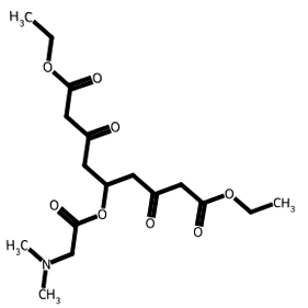 CCOC(=O)CC(=O)CC(CC(=O)CC(=O)OCC)OC(=O)CN(C)C